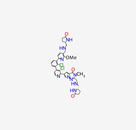 COc1nc(-c2cccc(-c3ccnc(-c4cc5c(=O)n(C)c(CNC[C@@H]6CCC(=O)N6)nn5c4)c3Cl)c2Cl)ccc1CNC[C@H]1CCC(=O)N1